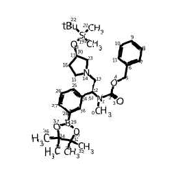 CN(C(=O)OCc1ccccc1)[C@H](CN1CC[C@@H](O[Si](C)(C)C(C)(C)C)C1)c1cccc(B2OC(C)(C)C(C)(C)O2)c1